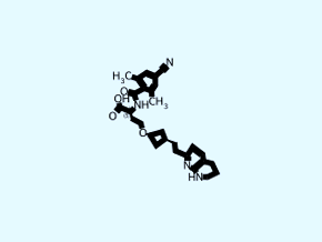 Cc1cc(C#N)cc(C)c1C(=O)N[C@@H](CCO[C@H]1C[C@H](CCc2ccc3c(n2)NCCC3)C1)C(=O)O